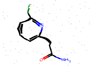 NC(=O)Cc1cccc(F)n1